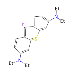 CCN(CC)c1ccc2cc3ccc(N(CC)CC)cc3[s+]c2c1.[I-]